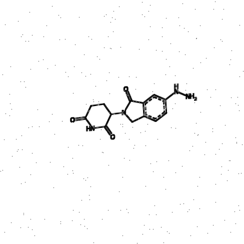 NNc1ccc2c(c1)C(=O)N(C1CCC(=O)NC1=O)C2